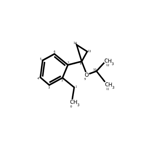 CCc1ccccc1C1(OC(C)C)CC1